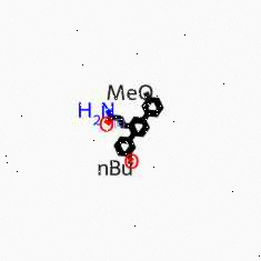 CCCCOc1cccc(-c2ccc(-c3cccc(OC)c3)cc2/C=C/C(N)=O)c1